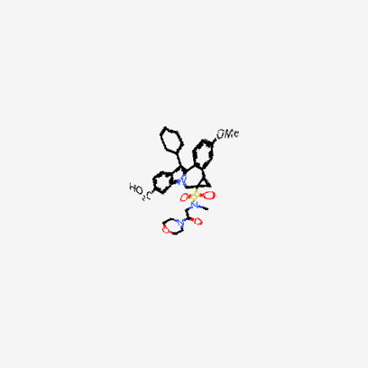 COc1ccc2c(c1)C1CC1(S(=O)(=O)N(C)CC(=O)N1CCOCC1)Cn1c-2c(C2CCCCC2)c2ccc(C(=O)O)cc21